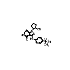 CC(O)(c1ccc(Nc2nn(C3CCCC3C#N)c3cc[nH]c(=O)c23)cc1)C(F)(F)F